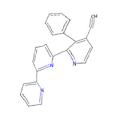 C#Cc1ccnc(-c2cccc(-c3ccccn3)n2)c1-c1ccccc1